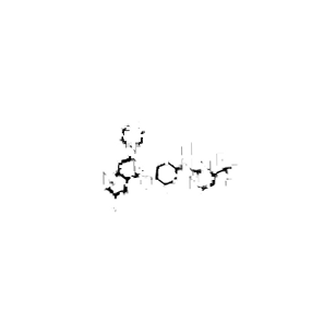 FC(F)(F)c1ccnc(NC2CCC(Oc3nc(N4CCOCC4)cc4ncc(I)cc34)CC2)n1